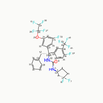 O=C(N[C@H]1CCC(F)(F)C1)N[C@@](Cc1ccccc1)(c1cc(F)cc(OC(F)(F)C(F)F)c1)c1ccc(F)c(C(F)(F)F)c1